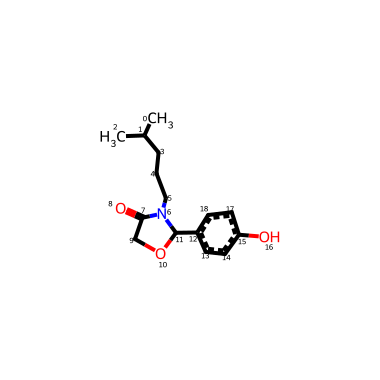 CC(C)CCCN1C(=O)COC1c1ccc(O)cc1